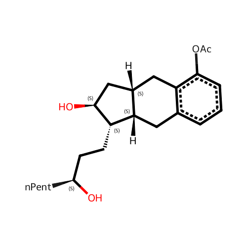 CCCCC[C@H](O)CC[C@H]1[C@H]2Cc3cccc(OC(C)=O)c3C[C@H]2C[C@@H]1O